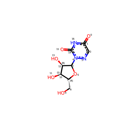 O=c1cnn(C2O[C@H](CO)[C@@H](O)[C@H]2O)c(=O)[nH]1